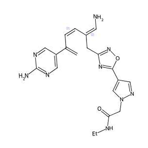 C=C(/C=C\C(=C/N)Cc1noc(-c2cnn(CC(=O)NCC)c2)n1)c1cnc(N)nc1